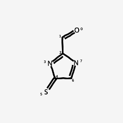 O=[C]C1=NC(=S)C=N1